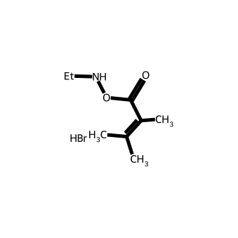 Br.CCNOC(=O)C(C)=C(C)C